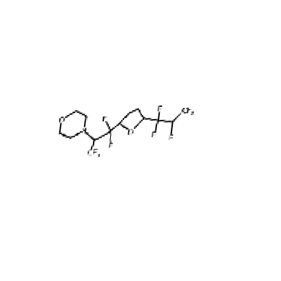 FC(C(F)(F)F)C(F)(F)C1CCC(C(F)(F)C(N2CCOCC2)C(F)(F)F)O1